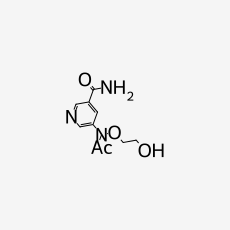 CC(=O)N(OCCO)c1cncc(C(N)=O)c1